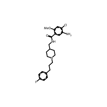 COc1cc(Cl)c(N)cc1C(=O)NCC1CCN(CC[CH]c2ccc(F)cc2)CC1